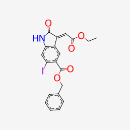 CCOC(=O)/C=C1/C(=O)Nc2cc(I)c(C(=O)OCc3ccccc3)cc21